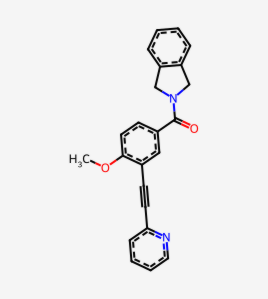 COc1ccc(C(=O)N2Cc3ccccc3C2)cc1C#Cc1ccccn1